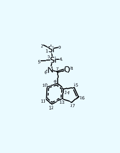 C[Si](C)[Si](C)(C)[N]C(=O)c1cccc2c1C=CC2